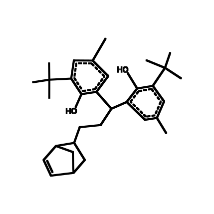 Cc1cc(C(CCC2CC3C=CC2C3)c2cc(C)cc(C(C)(C)C)c2O)c(O)c(C(C)(C)C)c1